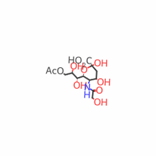 CC(=O)OC[C@@H](O)[C@@H](O)[C@@H]1OC(O)(C(=O)O)C[C@H](O)[C@H]1NC(=O)CO